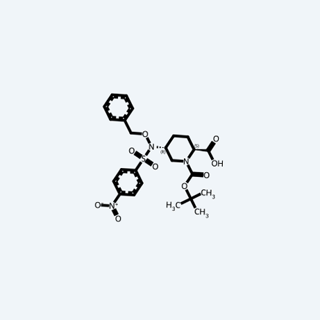 CC(C)(C)OC(=O)N1C[C@H](N(OCc2ccccc2)S(=O)(=O)c2ccc([N+](=O)[O-])cc2)CC[C@H]1C(=O)O